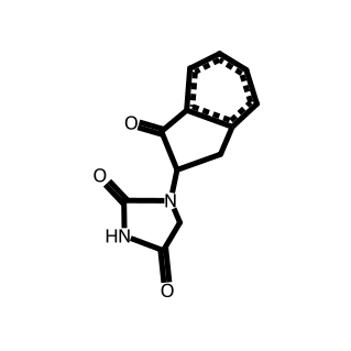 O=C1CN(C2Cc3ccccc3C2=O)C(=O)N1